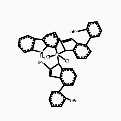 CCCc1ccccc1-c1cccc2c1C=C(C(C)C)[CH]2[Zr]([Cl])([Cl])([c]1cccc2c1[SiH2]c1ccccc1-2)[CH]1C(C(C)C)=Cc2c(-c3ccccc3CCC)cccc21